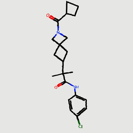 CC(C)(C(=O)Nc1ccc(Cl)cc1)C1CC2(C1)CN(C(=O)C1CCC1)C2